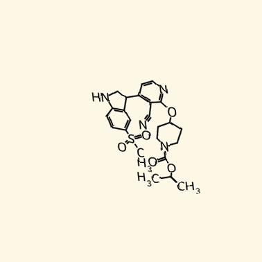 CC(C)OC(=O)N1CCC(Oc2nccc(C3CNc4ccc(S(C)(=O)=O)cc43)c2C#N)CC1